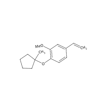 C=Cc1ccc(OC2(C)CCCC2)c(OC)c1